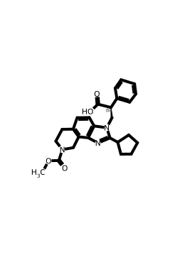 COC(=O)N1CCc2ccc3c(nc(C4CCCC4)n3C[C@@H](C(=O)O)c3ccccc3)c2C1